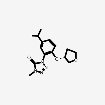 CC(C)c1ccc(O[C@@H]2CCOC2)c(-n2nnn(C)c2=O)c1